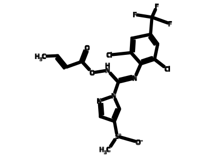 CC=CC(=O)ONC(=Nc1c(Cl)cc(C(F)(F)F)cc1Cl)n1cc([S+](C)[O-])cn1